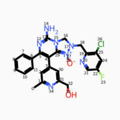 Cc1cc(C2=C(c3ccccc3)N=C(N)N3CN(Cc4ncc(F)cc4Cl)[N+]([O-])=C23)cc(CO)n1